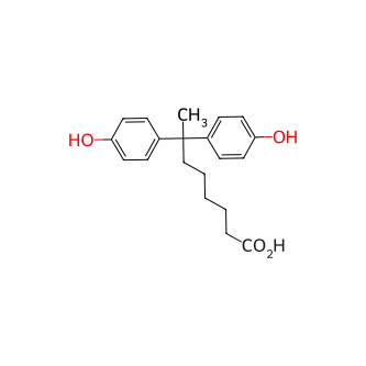 CC(CCCCCC(=O)O)(c1ccc(O)cc1)c1ccc(O)cc1